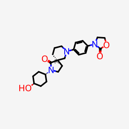 O=C1OCCN1c1ccc(N2CCC[C@@]3(CCN([C@H]4CC[C@H](O)CC4)C3=O)C2)cc1